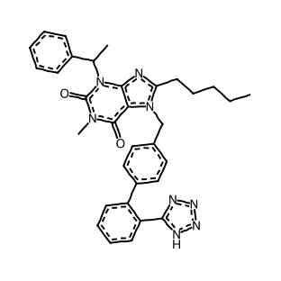 CCCCCc1nc2c(c(=O)n(C)c(=O)n2C(C)c2ccccc2)n1Cc1ccc(-c2ccccc2-c2nnn[nH]2)cc1